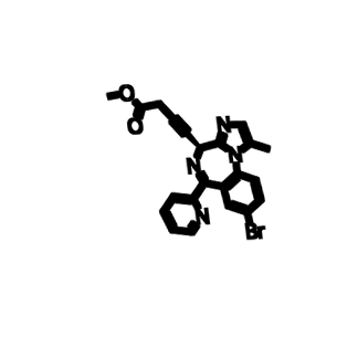 COC(=O)CC#C[C@@H]1N=C(c2ccccn2)c2cc(Br)ccc2-n2c(C)cnc21